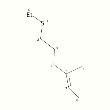 C[CH]SCCC/C(C)=C/C